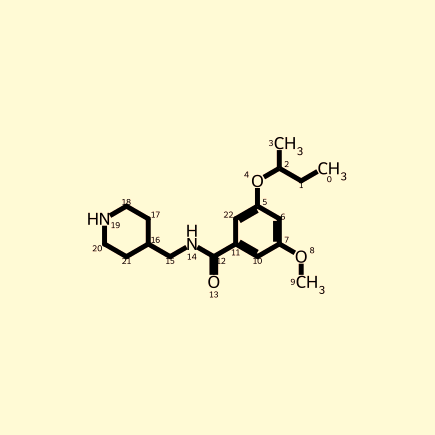 CCC(C)Oc1cc(OC)cc(C(=O)NCC2CCNCC2)c1